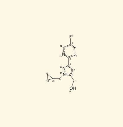 OCc1cc(-c2ccc(F)cn2)nn1CC1CC1